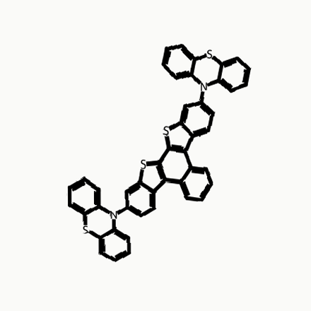 c1ccc2c(c1)Sc1ccccc1N2c1ccc2c(c1)sc1c3sc4cc(N5c6ccccc6Sc6ccccc65)ccc4c3c3ccccc3c21